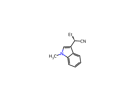 CC[C@@H](C#N)c1cn(C)c2ccccc12